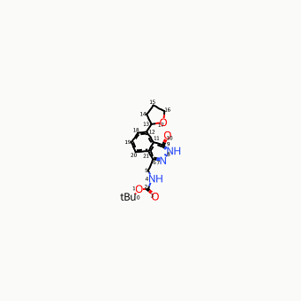 CC(C)(C)OC(=O)NCc1n[nH]c(=O)c2c(C3CCCO3)cccc12